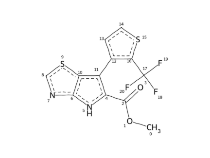 COC(=O)c1[nH]c2ncsc2c1-c1ccsc1C(F)(F)F